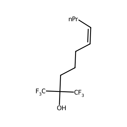 CCC/C=C\CCCC(O)(C(F)(F)F)C(F)(F)F